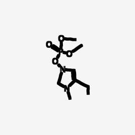 CCC1=CN(OP(=O)(OC)OC)CN1C